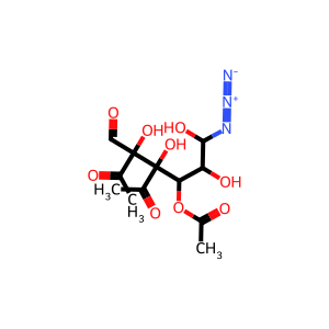 CC(=O)OC(C(O)C(O)N=[N+]=[N-])C(O)(C(C)=O)C(O)(C=O)C(C)=O